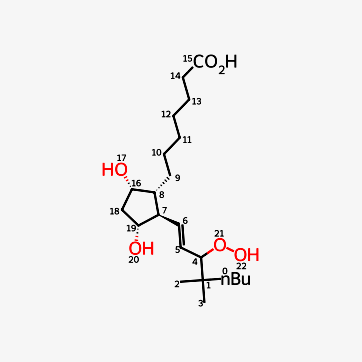 CCCCC(C)(C)C(/C=C/[C@@H]1[C@@H](CCCCCCC(=O)O)[C@@H](O)C[C@H]1O)OO